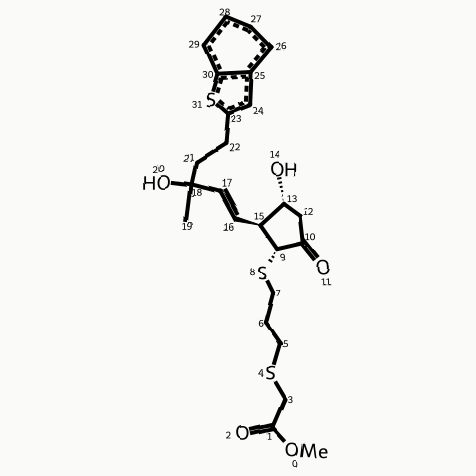 COC(=O)CSCCCS[C@H]1C(=O)C[C@@H](O)[C@@H]1/C=C/C(C)(O)CCc1cc2ccccc2s1